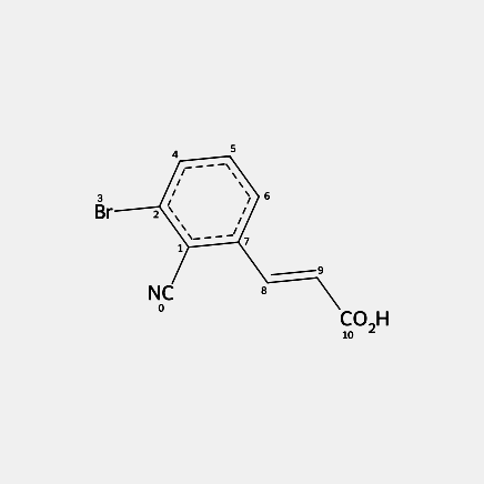 N#Cc1c(Br)cccc1/C=C/C(=O)O